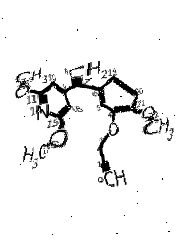 C#CCOc1cc(C(=C)c2cc(OC)nc(OC)c2)ccc1OC